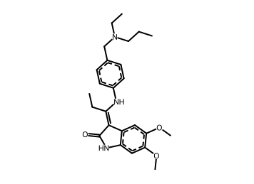 CCCN(CC)Cc1ccc(NC(CC)=C2C(=O)Nc3cc(OC)c(OC)cc32)cc1